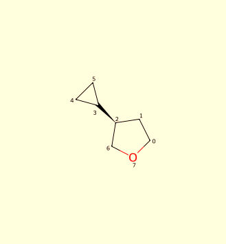 C1C[C@H](C2CC2)CO1